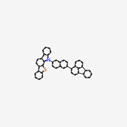 c1ccc2c(c1)-c1cccc3c(-c4ccc5cc(-n6c7ccccc7c7ccc8c9ccccc9sc8c76)ccc5c4)ccc-2c13